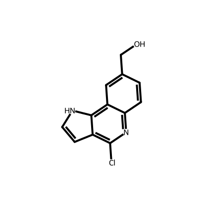 OCc1ccc2nc(Cl)c3cc[nH]c3c2c1